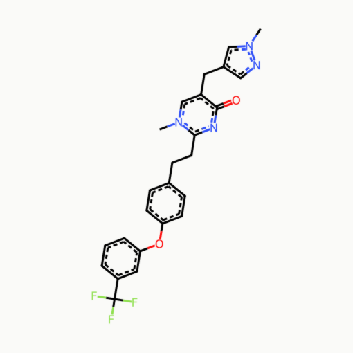 Cn1cc(Cc2cn(C)c(CCc3ccc(Oc4cccc(C(F)(F)F)c4)cc3)nc2=O)cn1